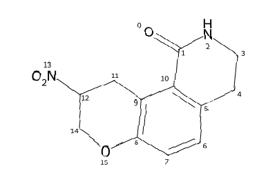 O=C1NCCc2ccc3c(c21)CC([N+](=O)[O-])CO3